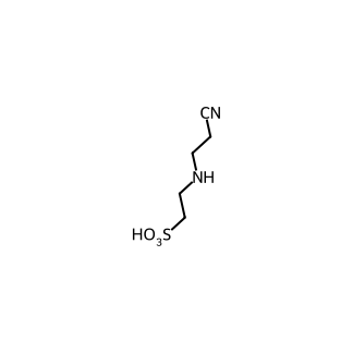 N#CCCNCCS(=O)(=O)O